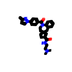 Cc1ccn(-c2ccc(C(=O)N3CCC4(C=C(C(=O)NCCN(C)C)CC4)Cc4ccccc43)cc2)n1